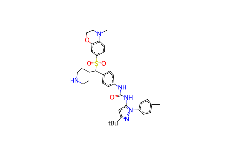 Cc1ccc(-n2nc(C(C)(C)C)cc2NC(=O)Nc2ccc(C(C3CCNCC3)S(=O)(=O)c3ccc4c(c3)OCCN4C)cc2)cc1